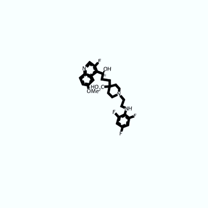 COc1ccc2ncc(F)c([C@@H](O)CCC3(C(=O)O)CCN(CCNc4c(F)cc(F)cc4F)CC3)c2c1